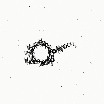 CC[C@H](C)[C@@H]1NC(=O)[C@@H]2CCCN2C(=O)[C@H](Cc2cccc(-c3cnc(N4CCC(C)CC4)cn3)c2)N(C)C(=O)[C@H](Cc2ccccc2)NC(=O)C(C(C)C)N(C)C(=O)[C@@H]([C@@H](C)CC)OC(=O)[C@H](C(C)(C)O)N(C)C(=O)[C@H](CC(C)C)NC(=O)C(C(C)C)N(C)C1=O